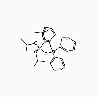 CC(C)[O][Zr]([O]C(C)C)([O]C(C)C)[O][Si](c1ccccc1)(c1ccccc1)c1ccccc1